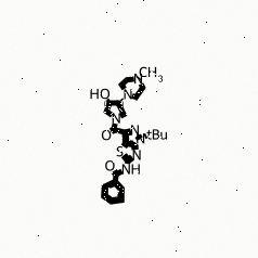 CN1CCN([C@@H]2CN(C(=O)c3nn(C(C)(C)C)c4nc(NC(=O)c5ccccc5)sc34)C[C@H]2O)CC1